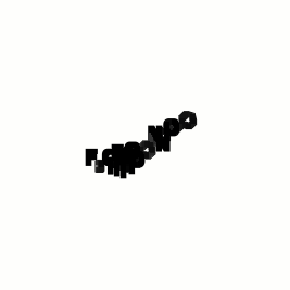 O=S(=O)(Oc1ccc(-c2ncc(OCc3ccccc3)cn2)cc1)C(F)(F)C(F)(F)C(F)(F)C(F)(F)F